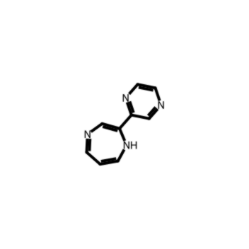 C1=CNC(c2cnccn2)=CN=C1